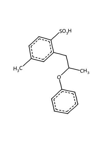 Cc1ccc(S(=O)(=O)O)c(CC(C)Oc2ccccc2)c1